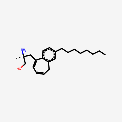 CCCCCCCCc1ccc2c(c1)CC=CC=C2C[C@](C)(N)CO